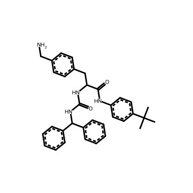 CC(C)(C)c1ccc(NC(=O)C(Cc2ccc(CN)cc2)NC(=O)NC(c2ccccc2)c2ccccc2)cc1